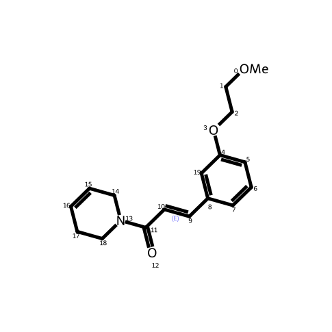 COCCOc1cccc(/C=C/C(=O)N2CC=CCC2)c1